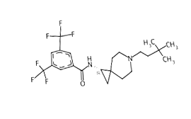 CC(C)(C)CCN1CCC2(CC1)C[C@@H]2NC(=O)c1cc(C(F)(F)F)cc(C(F)(F)F)c1